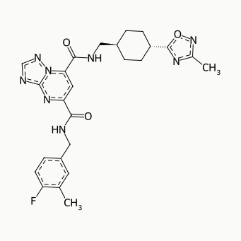 Cc1noc([C@H]2CC[C@H](CNC(=O)c3cc(C(=O)NCc4ccc(F)c(C)c4)nc4ncnn34)CC2)n1